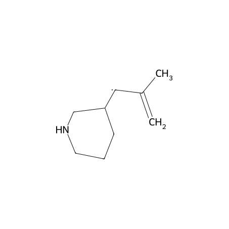 C=C(C)[CH]C1CCCNC1